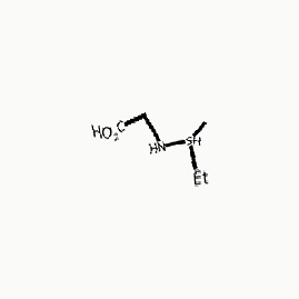 CC[SH](C)NCC(=O)O